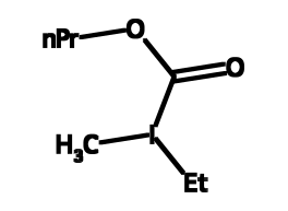 CCCOC(=O)I(C)CC